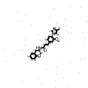 COc1cc(C=CC(=O)N[C@@H](CO)Cc2ccccc2)ccc1-n1cnc(C)c1